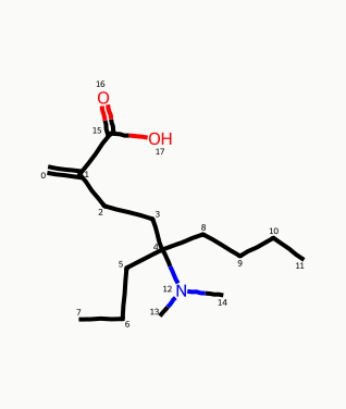 C=C(CCC(CCC)(CCCC)N(C)C)C(=O)O